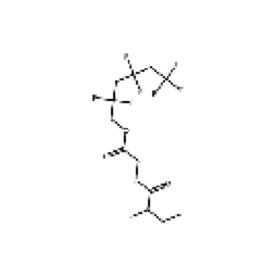 CCC(C)C(=O)OCC(=O)OCC(F)(F)CC(F)(F)CC(F)(F)F